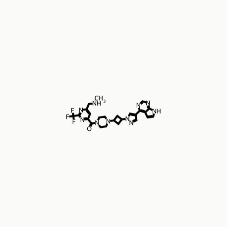 CNCc1cc(C(=O)N2CCN(C3C[C](n4cc(-c5ncnc6[nH]ccc56)cn4)C3)CC2)nc(C(F)(F)F)n1